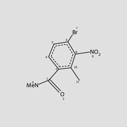 [CH2]NC(=O)c1ccc(Br)c([N+](=O)[O-])c1C